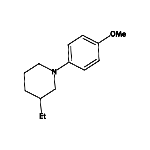 CCC1CCCN(c2ccc(OC)cc2)C1